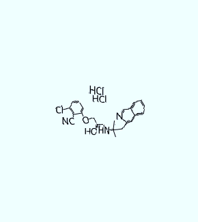 CC(C)(Cc1cc2ccccc2cn1)NC[C@@H](O)COc1cccc(Cl)c1C#N.Cl.Cl